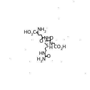 NC(=O)NCCSC[C@H](NC(=O)CC[C@H](N)C(=O)O)C(=O)NCC(=O)O